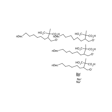 CCCCCCCCCCCCCCCCC(C[O-])C(C)(C(=O)O)C(=O)O.CCCCCCCCCCCCCCCCC(C[O-])C(C)(C(=O)O)C(=O)O.CCCCCCCCCCCCCCCCC(C[O-])C(C)(C(=O)O)C(=O)O.CCCCCCCCCCCCCCCCC(C[O-])C(C)(C(=O)O)C(=O)O.[Na+].[Na+].[Na+].[Na+]